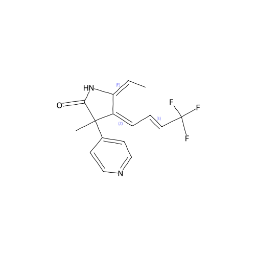 C/C=C1/NC(=O)C(C)(c2ccncc2)/C1=C/C=C/C(F)(F)F